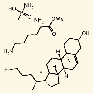 CC(C)CCC[C@@H](C)[C@H]1CC[C@H]2[C@@H]3CC=C4C[C@@H](O)CC[C@]4(C)[C@H]3CC[C@]12C.COC(=O)[C@@H](N)CCCCN.CP(N)(=O)O